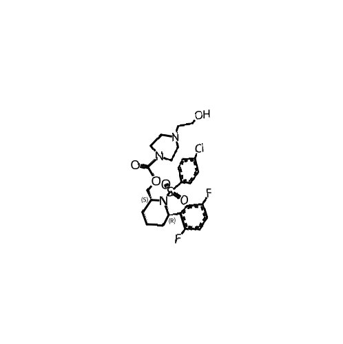 O=C(OC[C@@H]1CCC[C@H](c2cc(F)ccc2F)N1S(=O)(=O)c1ccc(Cl)cc1)N1CCN(CCO)CC1